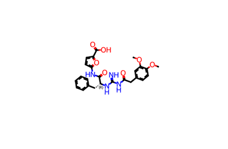 COc1ccc(CC(=O)NC(=N)N[C@H](Cc2ccccc2)C(=O)Nc2ccc(C(=O)O)o2)cc1OC